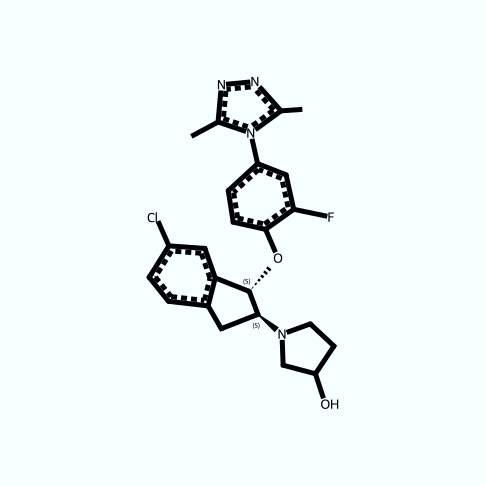 Cc1nnc(C)n1-c1ccc(O[C@H]2c3cc(Cl)ccc3C[C@@H]2N2CCC(O)C2)c(F)c1